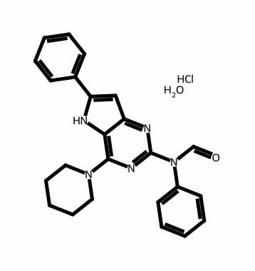 Cl.O.O=CN(c1ccccc1)c1nc(N2CCCCC2)c2[nH]c(-c3ccccc3)cc2n1